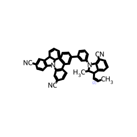 C/C=C\C1c2cccc(C#N)c2N(c2cccc(-c3cccc(-c4ccc(C#N)cc4N4c5ccc(C#N)cc5C5C=CC=CC54)c3)c2)C1C